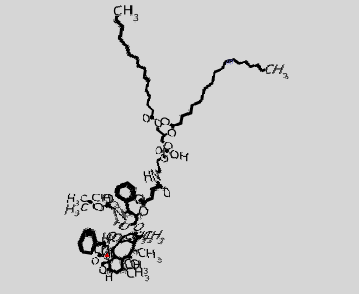 CCCCCC/C=C\CCCCCCCCCC(=O)OC(COC(=O)CCCCCCCCCCCCCCC)COP(=O)(O)OCCNC(=O)CCC(=O)O[C@@H](C(=O)O[C@H]1C[C@@]2(O)[C@@H](OC(=O)c3ccccc3)[C@@H]3[C@]4(OC(C)=O)CO[C@@H]4C[C@H](C)[C@@]3(C)C(=O)[C@H](C)C(=C1C)C2(C)C)[C@@H](NC(=O)OC(C)(C)C)c1ccccc1